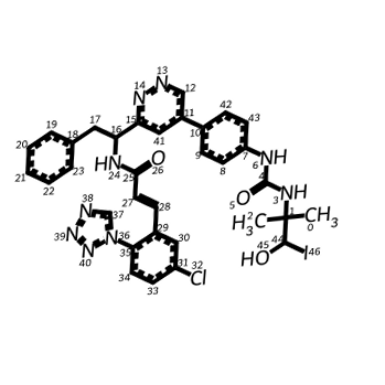 CC(C)(NC(=O)Nc1ccc(-c2cnnc(C(Cc3ccccc3)NC(=O)C=Cc3cc(Cl)ccc3-n3cnnn3)c2)cc1)C(O)I